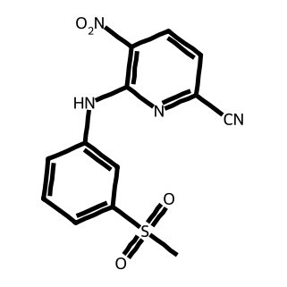 CS(=O)(=O)c1cccc(Nc2nc(C#N)ccc2[N+](=O)[O-])c1